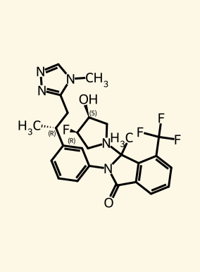 C[C@H](Cc1nncn1C)c1cccc(N2C(=O)c3cccc(C(F)(F)F)c3C2(C)N2C[C@@H](F)[C@@H](O)C2)c1